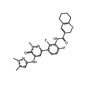 Cc1cc(Nc2cc(-c3ccc(F)c(NC(=O)C4=CC5=C(CCCC5)SC4)c3F)nn(C)c2=O)nn1C